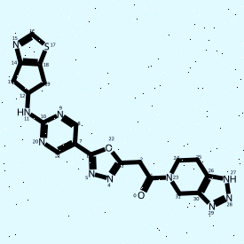 O=C(Cc1nnc(-c2cnc(NC3Cc4ncsc4C3)nc2)o1)N1CCc2[nH]nnc2C1